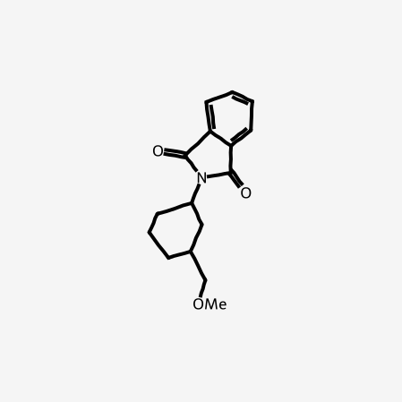 COCC1CCCC(N2C(=O)c3ccccc3C2=O)C1